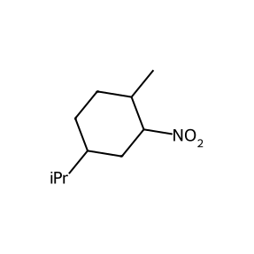 CC(C)C1CCC(C)C([N+](=O)[O-])C1